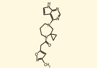 Cc1cc(CC(=O)N2CCCN(c3ncnc4[nH]ccc34)CC23CC3)on1